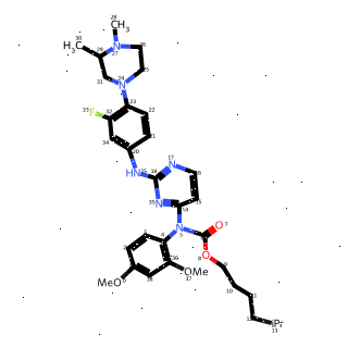 COc1ccc(N(C(=O)OCCCCC(C)C)c2ccnc(Nc3ccc(N4CCN(C)C(C)C4)c(F)c3)n2)c(OC)c1